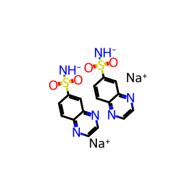 [NH-]S(=O)(=O)c1ccc2nccnc2c1.[NH-]S(=O)(=O)c1ccc2nccnc2c1.[Na+].[Na+]